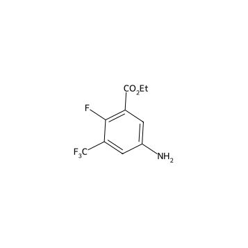 CCOC(=O)c1cc(N)cc(C(F)(F)F)c1F